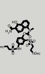 CCCCCCCCCCCCS(=O)(=O)Nc1ccc(OC(=O)N(C)c2cccc3c(O)c(C(N)=O)ccc23)c(NS(=O)(=O)CCCCCCCCCCCC)c1